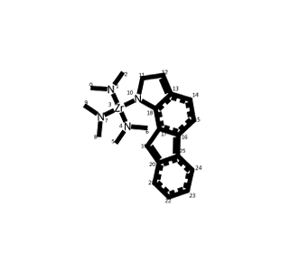 C[N](C)[Zr]([N](C)C)([N](C)C)[N]1CC=c2ccc3c(c21)C=c1ccccc1=3